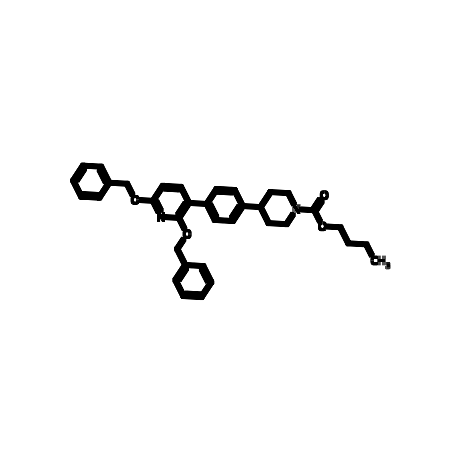 CCCCOC(=O)N1CCC(c2ccc(-c3ccc(OCc4ccccc4)nc3OCc3ccccc3)cc2)CC1